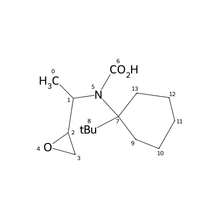 CC(C1CO1)N(C(=O)O)C1(C(C)(C)C)CCCCC1